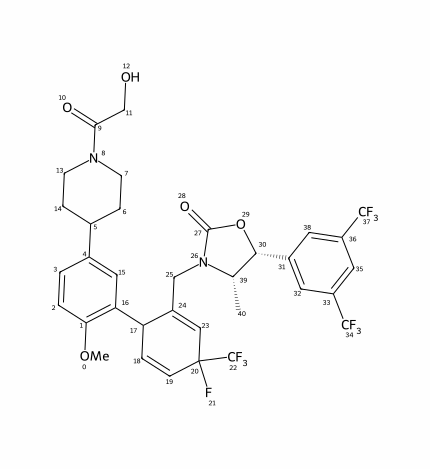 COc1ccc(C2CCN(C(=O)CO)CC2)cc1C1C=CC(F)(C(F)(F)F)C=C1CN1C(=O)O[C@H](c2cc(C(F)(F)F)cc(C(F)(F)F)c2)[C@@H]1C